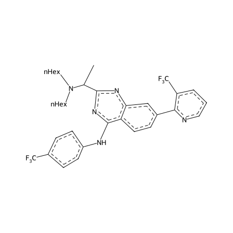 CCCCCCN(CCCCCC)C(C)c1nc(Nc2ccc(C(F)(F)F)cc2)c2ccc(-c3ncccc3C(F)(F)F)cc2n1